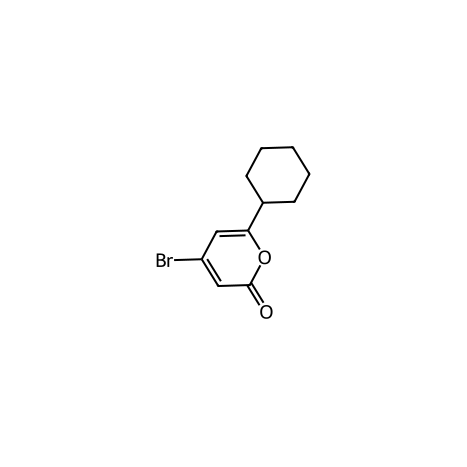 O=c1cc(Br)cc(C2CCCCC2)o1